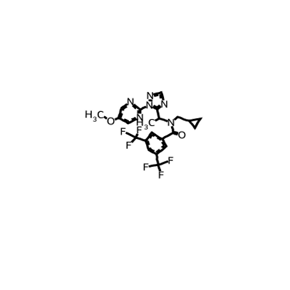 COc1cnc(-n2ncnc2C(C)N(CC2CC2)C(=O)c2cc(C(F)(F)F)cc(C(F)(F)F)c2)nc1